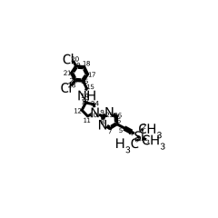 C[Si](C)(C)C#Cc1cnc(N2CCC(NCc3ccc(Cl)cc3Cl)C2)nc1